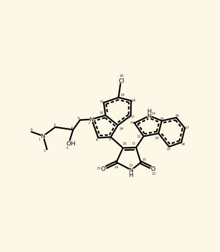 CN(C)CC(O)Cn1cc(C2=C(c3c[nH]c4ccccc34)C(=O)NC2=O)c2ccc(Cl)cc21